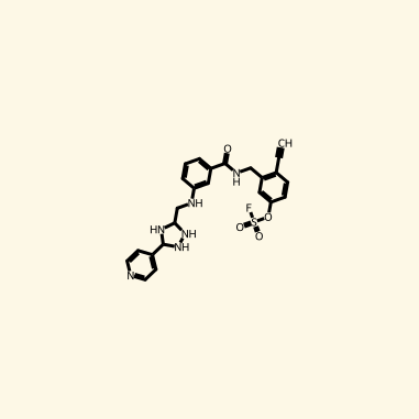 C#Cc1ccc(OS(=O)(=O)F)cc1CNC(=O)c1cccc(NCC2NNC(c3ccncc3)N2)c1